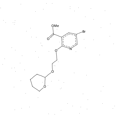 COC(=O)c1cc(Br)cnc1OCCOC1CCCCO1